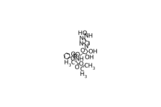 CC(C)OC(=O)[C@@H](C)N[P@](=O)(OC[C@H]1O[C@@H](n2ccc3c(NO)ncnc32)[C@H](O)[C@@H]1O)Oc1ccccc1